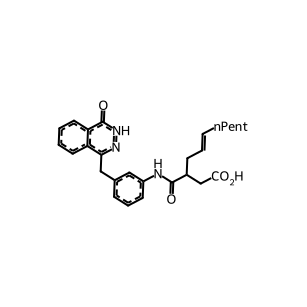 CCCCC/C=C/CC(CC(=O)O)C(=O)Nc1cccc(Cc2n[nH]c(=O)c3ccccc23)c1